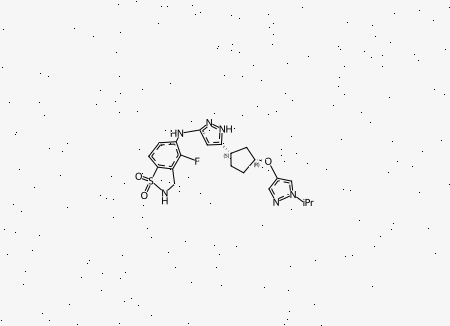 CC(C)n1cc(O[C@@H]2CC[C@H](c3cc(Nc4ccc5c(c4F)CNS5(=O)=O)n[nH]3)C2)cn1